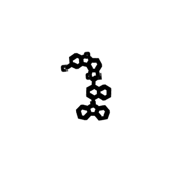 Clc1ccc2oc3ccc4nc(-c5ccc(-n6c7ccccc7c7ccccc76)c6ccccc56)oc4c3c2c1